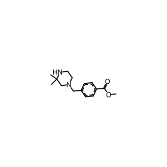 COC(=O)c1ccc(CN2CCNC(C)(C)C2)cc1